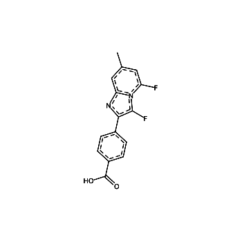 Cc1cc(F)n2c(F)c(-c3ccc(C(=O)O)cc3)nc2c1